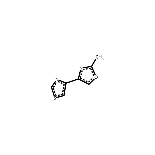 Cc1nc(-c2cscn2)co1